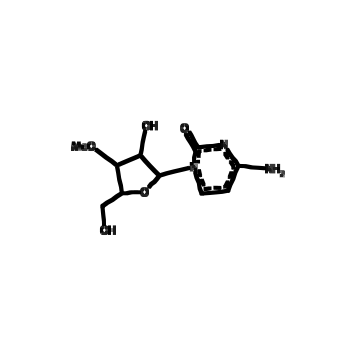 COC1C(CO)OC(n2ccc(N)nc2=O)C1O